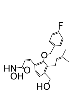 CC(C)=CCc1c(CO)ccc(/C=C\C(=O)NO)c1OCc1ccc(F)cc1